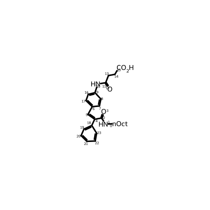 CCCCCCCCNC(=O)/C(=C\c1ccc(NC(=O)CCC(=O)O)cc1)c1ccccc1